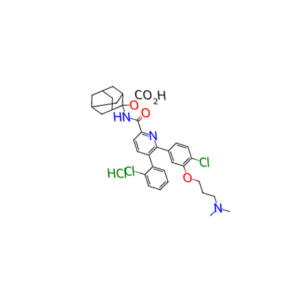 CN(C)CCCOc1cc(-c2nc(C(=O)NC3(OC(=O)O)C4CC5CC(C4)CC3C5)ccc2-c2ccccc2Cl)ccc1Cl.Cl